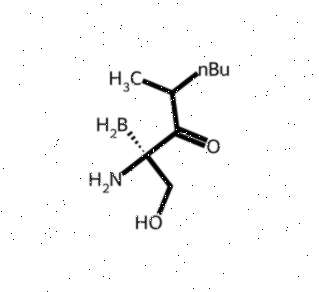 B[C@@](N)(CO)C(=O)C(C)CCCC